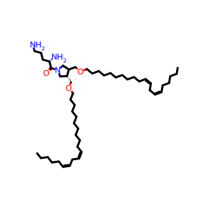 CCCCC/C=C\C/C=C\CCCCCCCCCCOCC1CN(C(=O)[C@@H](N)CCCN)C[C@H]1COCCCCCCCCCC/C=C\C/C=C\CCCCC